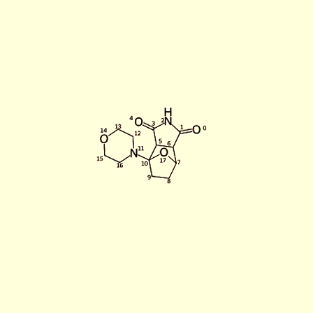 O=C1NC(=O)C2C1C1CCC2(N2CCOCC2)O1